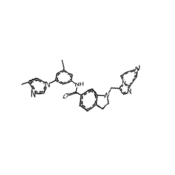 Cc1cc(NC(=O)c2ccc3c(c2)N(Cc2cnc4cnccn24)CC3)cc(-n2cnc(C)c2)c1